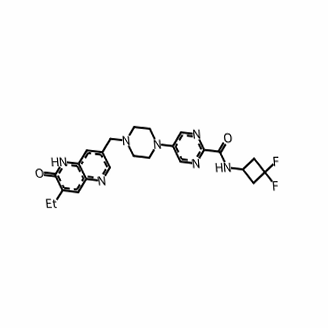 CCc1cc2ncc(CN3CCN(c4cnc(C(=O)NC5CC(F)(F)C5)nc4)CC3)cc2[nH]c1=O